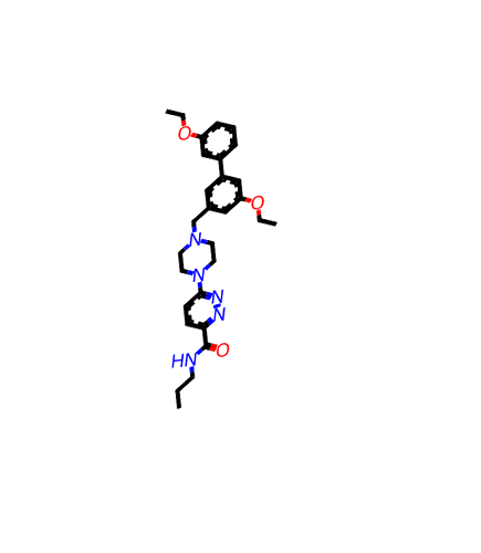 CCCNC(=O)c1ccc(N2CCN(Cc3cc(OCC)cc(-c4cccc(OCC)c4)c3)CC2)nn1